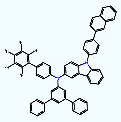 [2H]c1c([2H])c([2H])c(-c2ccc(N(c3cc(-c4ccccc4)cc(-c4ccccc4)c3)c3ccc4c(c3)c3ccccc3n4-c3ccc(-c4ccc5ccccc5c4)cc3)cc2)c([2H])c1[2H]